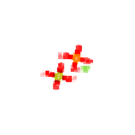 F.O=P(O)(O)O.O=S(=O)(O)O